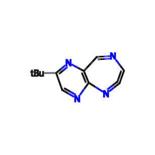 CC(C)(C)c1cnc2c(n1)C=NC=C=N2